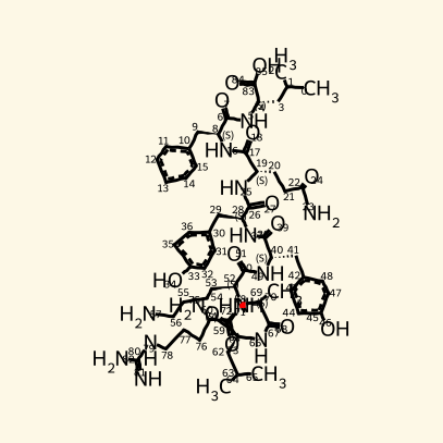 CC(C)C[C@H](NC(=O)[C@H](Cc1ccccc1)NC(=O)[C@H](CCC(N)=O)NC(=O)[C@H](Cc1ccc(O)cc1)NC(=O)[C@H](Cc1ccc(O)cc1)NC(=O)[C@H](CCCCN)NC(=O)[C@H](CC(C)C)NC(=O)[C@H](C)NC(=O)[C@@H](N)CCCNC(=N)N)C(=O)O